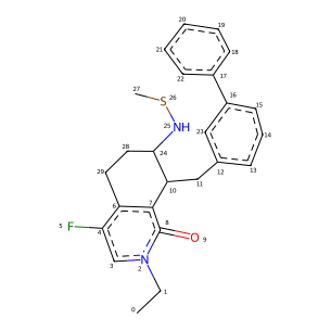 CCn1cc(F)c2c(c1=O)C(Cc1cccc(-c3ccccc3)c1)C(NSC)CC2